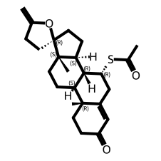 C=C1CC[C@@]2(CC[C@H]3[C@@H]4[C@H](SC(C)=O)CC5=CC(=O)CC[C@]5(C)[C@H]4CC[C@@]32C)O1